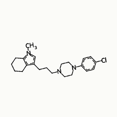 Cn1cc(CCCN2CCN(c3ccc(Cl)cc3)CC2)c2c1CCCC2